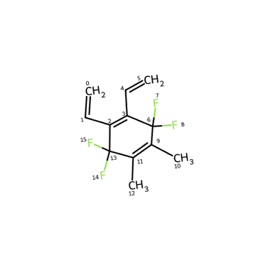 C=CC1=C(C=C)C(F)(F)C(C)=C(C)C1(F)F